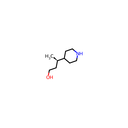 C[C@H](CCO)C1CCNCC1